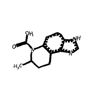 CC1CCc2c(ccc3[nH]cnc23)N1C(=O)O